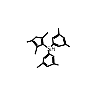 CC1=C(C)C([SiH](c2cc(C)cc(C)c2)c2cc(C)cc(C)c2)=C(C)C1